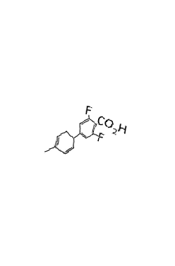 CC1=CCC(c2cc(F)c(C(=O)O)c(F)c2)C=C1